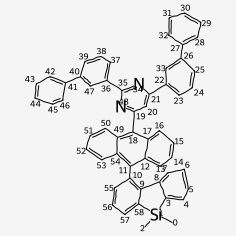 C[Si]1(C)c2ccccc2-c2c(-c3c4ccccc4c(-c4cc(-c5cccc(-c6ccccc6)c5)nc(-c5cccc(-c6ccccc6)c5)n4)c4ccccc34)cccc21